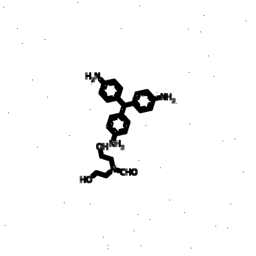 Nc1ccc(C(c2ccc(N)cc2)c2ccc(N)cc2)cc1.O=CN(CCO)CCO